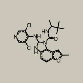 Cc1cc2c3c(ccc2o1)NC(Nc1c(Cl)cncc1Cl)N3C(=O)NC(C)C(C)(C)C